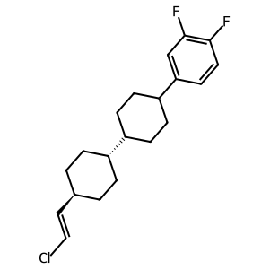 Fc1ccc(C2CCC([C@H]3CC[C@H](/C=C/Cl)CC3)CC2)cc1F